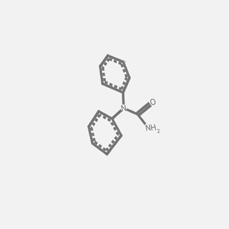 NC(=O)N(c1c[c]ccc1)c1ccccc1